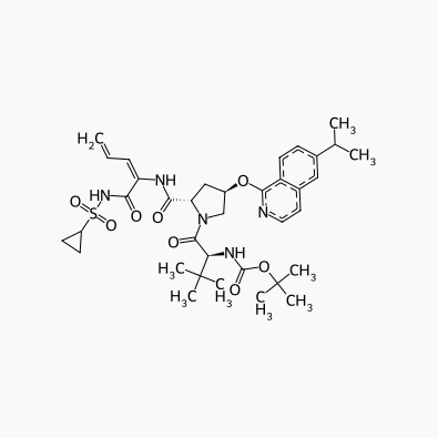 C=C/C=C(/NC(=O)[C@@H]1C[C@@H](Oc2nccc3cc(C(C)C)ccc23)CN1C(=O)[C@@H](NC(=O)OC(C)(C)C)C(C)(C)C)C(=O)NS(=O)(=O)C1CC1